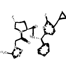 Cc1cnnn1CC(=O)N1C[C@H](F)C[C@H]1C(=O)N[C@@H](c1ccccc1)c1ccc(C2CC2)c(F)n1